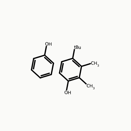 Cc1c(O)ccc(C(C)(C)C)c1C.Oc1ccccc1